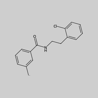 [CH2]c1cccc(C(=O)NCCc2ccccc2Cl)c1